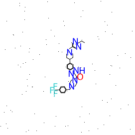 CCc1ncc(CN2CCC(c3ccc4nc(C(=O)N5CCN(Cc6ccc(C(F)(F)F)cc6)CC5)[nH]c4c3)CC2)cn1